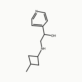 CC1CC(NCC(O)c2ccncc2)C1